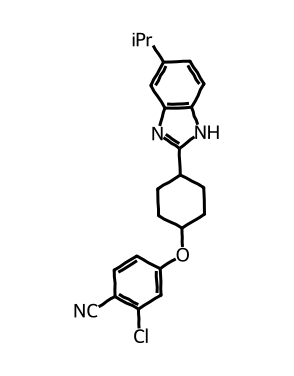 CC(C)c1ccc2[nH]c(C3CCC(Oc4ccc(C#N)c(Cl)c4)CC3)nc2c1